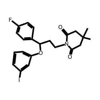 CC1(C)CC(=O)N(CCC(Oc2cccc(I)c2)c2ccc(F)cc2)C(=O)C1